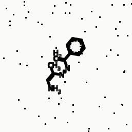 C=C(/N=N\C(C)=C/N)c1ccccc1